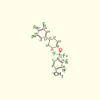 Cc1ccc(C(F)(F)OC2=CCC(c3cc(F)c(F)c(F)c3)CC2)c(F)c1F